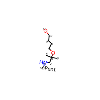 CCCCCNCC(C)(C)OCCCC[O]